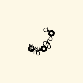 O=C(N[C@H]1CN2CCC1CC2)c1ccc2c(c1)O[C@@H](COc1cccc(Cl)c1)CO2